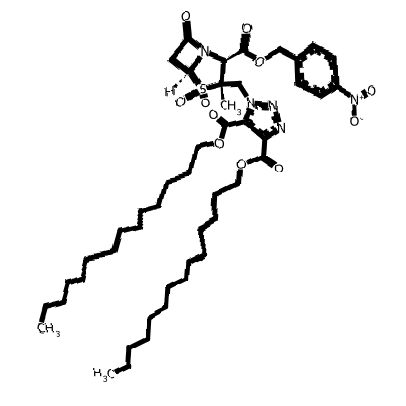 CCCCCCCCCCCCCCOC(=O)c1nnn(C[C@@]2(C)[C@H](C(=O)OCc3ccc([N+](=O)[O-])cc3)N3C(=O)C[C@@H]3S2(=O)=O)c1C(=O)OCCCCCCCCCCCCCC